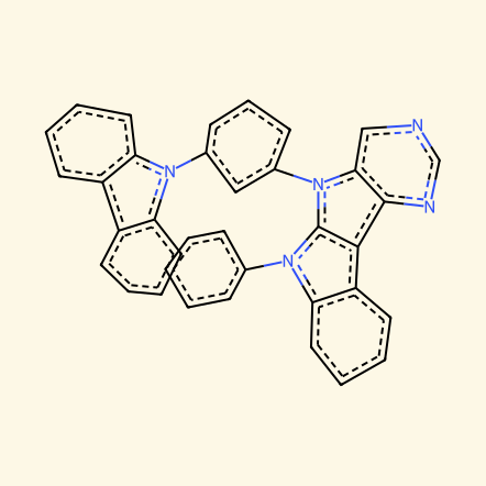 c1ccc(-n2c3ccccc3c3c4ncncc4n(-c4cccc(-n5c6ccccc6c6ccccc65)c4)c32)cc1